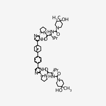 CC(C)[C@H](NC(=O)N1CCC(C)(O)CC1)C(=O)N1CCC[C@H]1c1ncc(-c2ccc(C34CCC(c5cnc([C@@H]6CCCN6C(=O)[C@@H](NC(=O)N6CCC(C)(O)CC6)C(C)C)[nH]5)(CC3)CC4)cc2)[nH]1